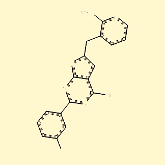 COc1ncccc1Cc1cc2c(N)nc(-c3cccc(C#N)c3)nc2s1